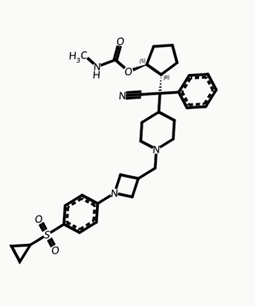 CNC(=O)O[C@H]1CCC[C@@H]1C(C#N)(c1ccccc1)C1CCN(CC2CN(c3ccc(S(=O)(=O)C4CC4)cc3)C2)CC1